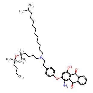 CCCC[Si](C)(C)O[Si](C)(C)CCCCN(CCCCCCCCCCCC(C)C)CCc1ccc(Oc2cc(O)c3c(c2N)C(=O)c2ccccc2C3=O)cc1